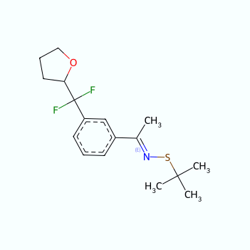 C/C(=N\SC(C)(C)C)c1cccc(C(F)(F)C2CCCO2)c1